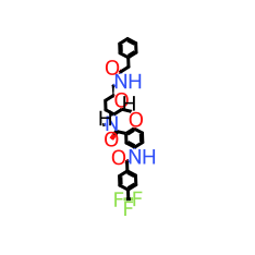 CN1C(=O)c2cc(NC(=O)c3ccc(C(F)(F)F)cc3)ccc2OC[C@@H]2O[C@H](CNC(=O)Cc3ccccc3)CC[C@@H]21